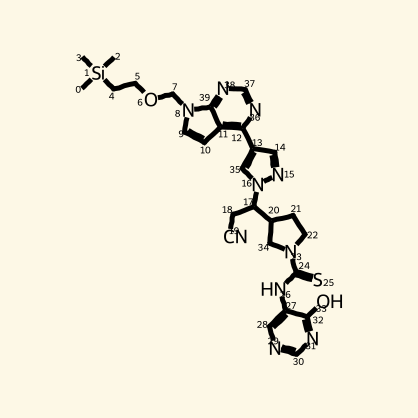 C[Si](C)(C)CCOCn1ccc2c(-c3cnn(C(CC#N)C4CCN(C(=S)Nc5cncnc5O)C4)c3)ncnc21